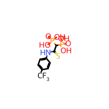 O=P(O)(O)C(C(=S)Nc1ccc(C(F)(F)F)cc1)P(=O)(O)O